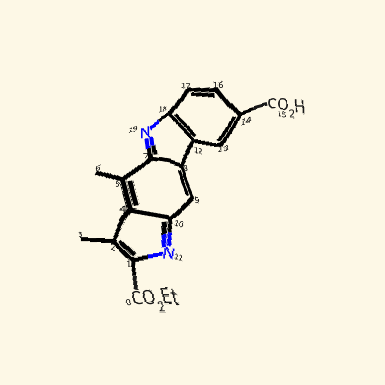 CCOC(=O)C1=C(C)c2c(C)c3c(cc2=N1)-c1cc(C(=O)O)ccc1N=3